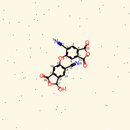 N#Cc1cc2c(cc1Oc1cc3c(cc1C#N)C(O)OC3=O)C(=O)OC2=O